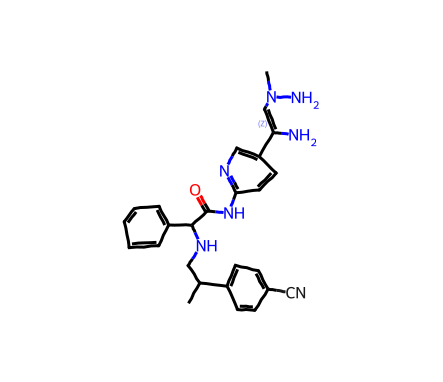 CC(CNC(C(=O)Nc1ccc(/C(N)=C/N(C)N)cn1)c1ccccc1)c1ccc(C#N)cc1